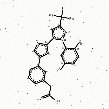 O=C(O)Cc1cccc(-c2csc(-c3cc(C(F)(F)F)nn3-c3cc(Cl)ccc3Cl)c2)c1